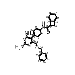 Nc1nc(N)c(-c2ccc(NC(=O)C3Cc4ccccc43)cc2)c(COCc2ccccc2)n1